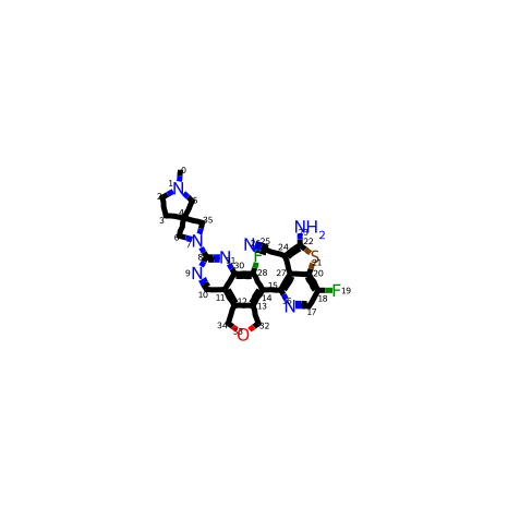 CN1CCC2(C1)CN(c1ncc3c4c(c(-c5ncc(F)c6sc(N)c(C#N)c56)c(F)c3n1)COC4)C2